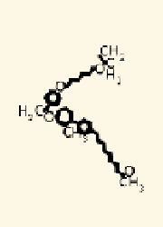 C=CC(=C)OCCCCCCOc1ccc(C(=C)OC2=CCC=C(c3ccc(CCCCCCCCC(C)=O)cc3)C(C)=C2)cc1